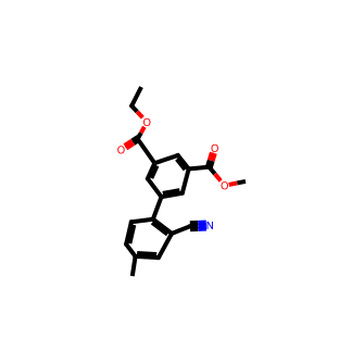 CCOC(=O)c1cc(C(=O)OC)cc(-c2ccc(C)cc2C#N)c1